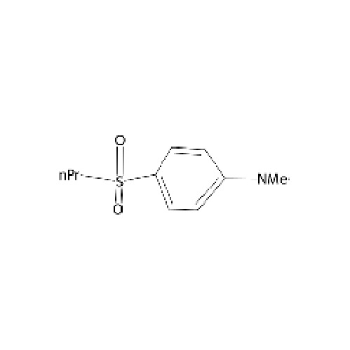 CCCS(=O)(=O)c1ccc([N]C)cc1